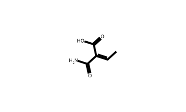 CC=C(C(N)=O)C(=O)O